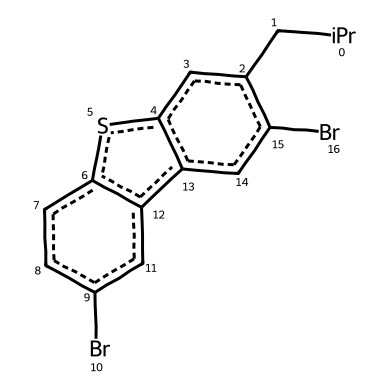 CC(C)Cc1cc2sc3ccc(Br)cc3c2cc1Br